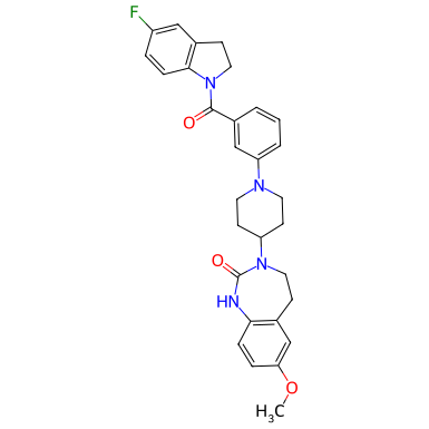 COc1ccc2c(c1)CCN(C1CCN(c3cccc(C(=O)N4CCc5cc(F)ccc54)c3)CC1)C(=O)N2